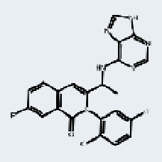 CC(Nc1ncnc2[nH]cnc12)c1cc2ccc(F)cc2c(=O)n1-c1cc(Cl)ccc1Cl